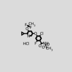 CC(F)(F)Oc1cc(Oc2cc(F)c(C(=O)NS(C)(=O)=O)cc2Cl)cnc1C1CC1.Cl